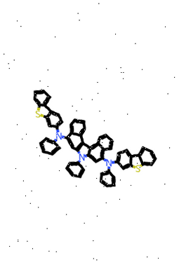 c1ccc(N(c2ccc3c(c2)sc2ccccc23)c2cc3c(c4ccccc24)c2c4ccccc4c(N(c4ccccc4)c4ccc5c(c4)sc4ccccc45)cc2n3-c2ccccc2)cc1